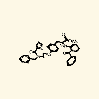 COC(=O)C(Cc1ccc(OCCN(Cc2ccccc2)C(=O)c2cccs2)cc1)Nc1ccccc1C(=O)c1ccccc1